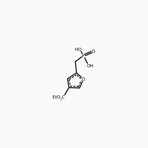 CCOC(=O)c1coc(CP(=O)(O)O)c1